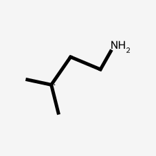 C[C](C)CCN